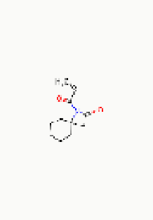 C=CC(=O)N1C(=O)CC12CCCCC2